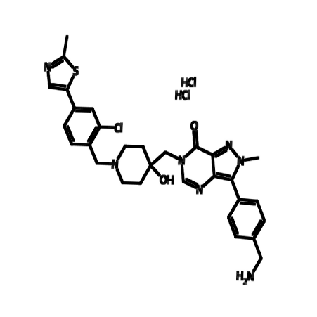 Cc1ncc(-c2ccc(CN3CCC(O)(Cn4cnc5c(-c6ccc(CN)cc6)n(C)nc5c4=O)CC3)c(Cl)c2)s1.Cl.Cl